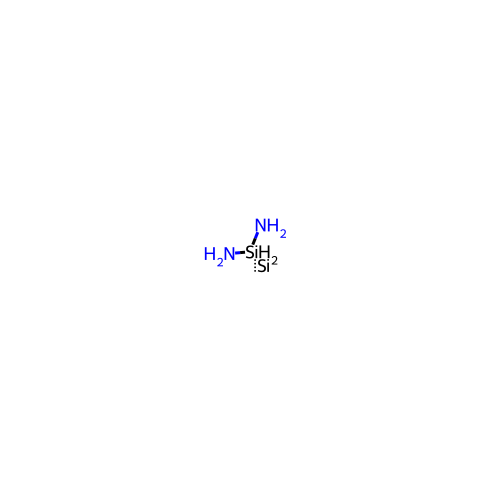 N[SiH2]N.[Si]